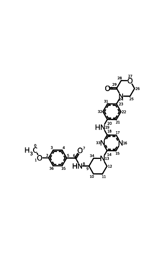 COc1ccc(C(=O)NC2CCCN(c3cncc(Nc4ccc(N5CCOCC5=O)cc4)n3)C2)cc1